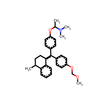 COCOc1ccc(C(=C2CCC(C)c3ccccc32)c2ccc(OC(C)N(C)C)cc2)cc1